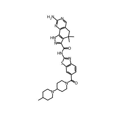 CC1CCN(C2CCN(C(=O)c3ccc4nc(NC(=O)c5n[nH]c6c5C(C)(C)Cc5cnc(N)nc5-6)sc4c3)CC2)CC1